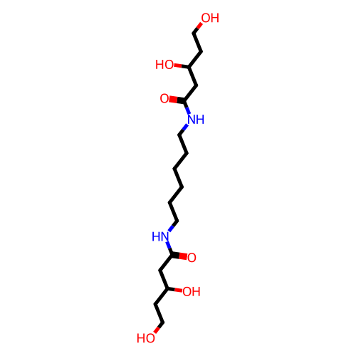 O=C(CC(O)CCO)NCCCCCCNC(=O)CC(O)CCO